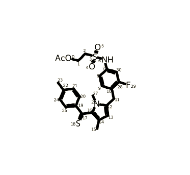 CC(=O)OCCS(=O)(=O)Nc1ccc(Cc2cc(C)c(C(=S)c3ccc(C)cc3)n2C)c(F)c1